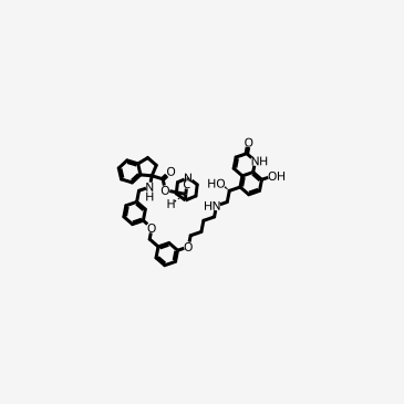 O=C(O[C@H]1CN2CCC1CC2)C1(NCc2cccc(OCc3cccc(OCCCCNC[C@H](O)c4ccc(O)c5[nH]c(=O)ccc45)c3)c2)CCc2ccccc21